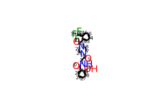 O=C(NCC(=O)N1CCN(C(=O)c2ccccc2C(F)(F)F)CC1)c1ccccc1O